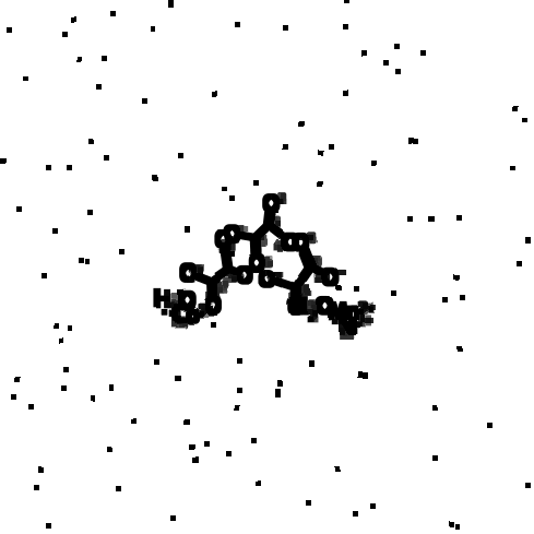 O.O.O=C([O-])C(=O)[O-].O=C([O-])C(=O)[O-].O=C([O-])C(=O)[O-].[Co+2].[Mn+2].[Ni+2]